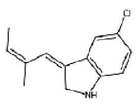 C/C=C(C)\C=C1/CNc2ccc(Cl)cc21